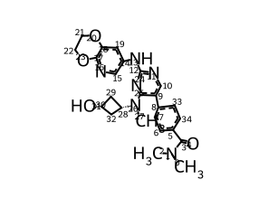 CN(C)C(=O)c1ccc(-c2cnc(Nc3cnc4c(c3)OCCO4)nc2N(C)[C@H]2C[C@@H](O)C2)cc1